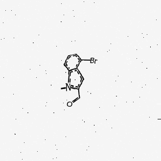 Cn1c(C=O)cc2c(Br)cccc21